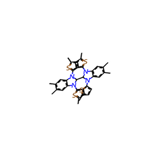 Cc1ccc(N2c3cc(C)c(C)cc3N(c3ccc(C)s3)C2C2N(c3ccc(C)s3)c3cc(C)c(C)cc3N2c2ccc(C)s2)s1